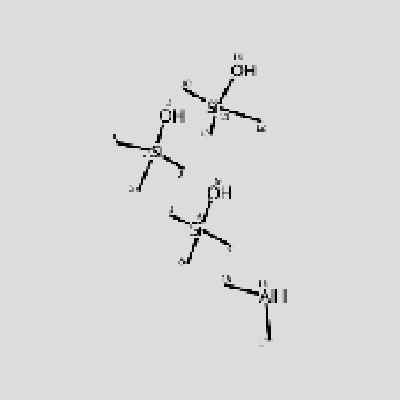 C[Si](C)(C)O.C[Si](C)(C)O.C[Si](C)(C)O.[CH3][AlH][CH3]